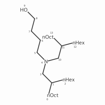 CCCCCCCCC(CCCCCC)CN(CCCCO)CC(CCCCCC)CCCCCCCC